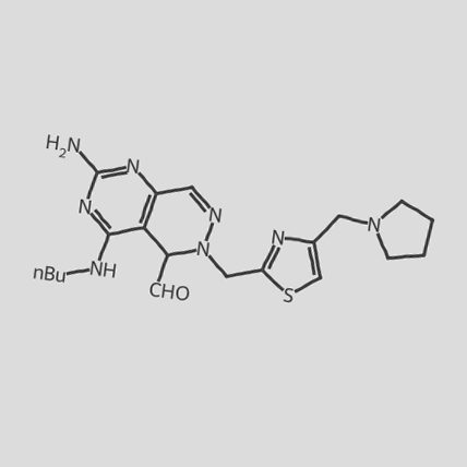 CCCCNc1nc(N)nc2c1C(C=O)N(Cc1nc(CN3CCCC3)cs1)N=C2